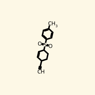 C#CC1C=CC(S(=O)(=O)c2ccc(C)cc2)CC1